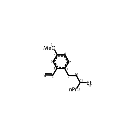 [CH]=Cc1cc(OC)[c]cc1CCC(CC)CCC